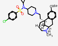 COc1ccc2c(c1)[C@]1(CCN3CCC(N(C4CC4)S(=O)(=O)c4ccc(Cl)cc4)CC3)CCCN(C)[C@H](C2)[C@@H]1C